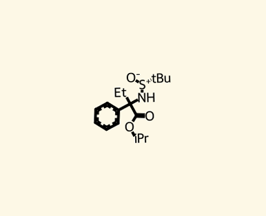 CCC(N[S+]([O-])C(C)(C)C)(C(=O)OC(C)C)c1ccccc1